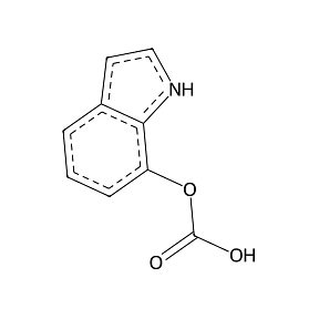 O=C(O)Oc1cccc2cc[nH]c12